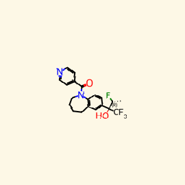 C[C@@H](F)C(O)(c1ccc2c(c1)CCCCN2C(=O)c1ccncc1)C(F)(F)F